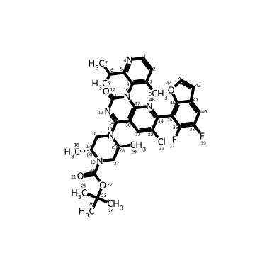 Cc1ccnc(C(C)C)c1-n1c(=O)nc(N2C[C@@H](C)N(C(=O)OC(C)(C)C)C[C@@H]2C)c2cc(Cl)c(-c3c(F)c(F)cc4ccoc34)nc21